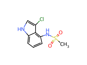 CS(=O)(=O)Nc1cccc2[nH]cc(Cl)c12